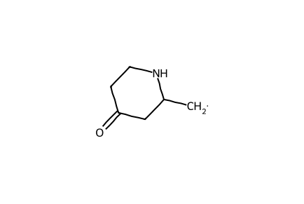 [CH2]C1CC(=O)CCN1